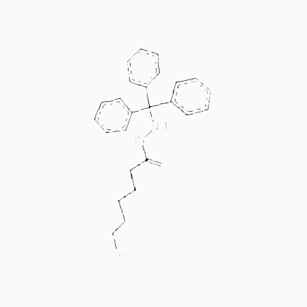 O=C(CCCCCO)NNC(c1ccccc1)(c1ccccc1)c1ccccc1